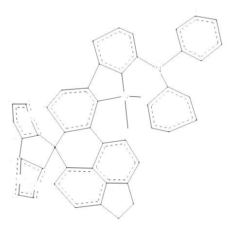 C[Si]1(C)c2c(cccc2N(c2ccccc2)c2ccccc2)-c2ccc3c(c21)-c1ccc2c4c(ccc(c14)C31c3ccccc3-c3ccccc31)CC2